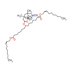 CCCCCCC/C=C\COC(=O)CCCCCCC(CCCCCCC(=O)OC/C=C\CCCCCCC)OC(=O)CC(C)(C)CC(C)(C)CN(C)C